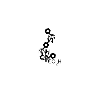 O=C(O)N[C@@H](C(=O)N1CCCC1C1=NCC(c2ccc(-c3cn4c(-c5ccccc5)csc4n3)cc2)N1)c1ccccc1